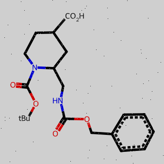 CC(C)(C)OC(=O)N1CCC(C(=O)O)CC1CNC(=O)OCc1ccccc1